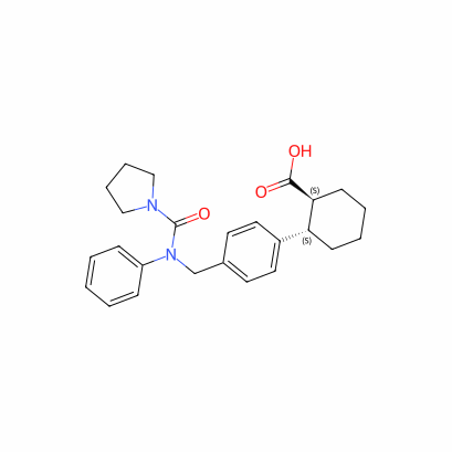 O=C(O)[C@H]1CCCC[C@@H]1c1ccc(CN(C(=O)N2CCCC2)c2ccccc2)cc1